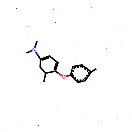 Cc1ccc(OC2=CC=C(N(C)C)CC2C)cc1